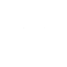 CC(C1CCCO1)S(=O)(=O)O